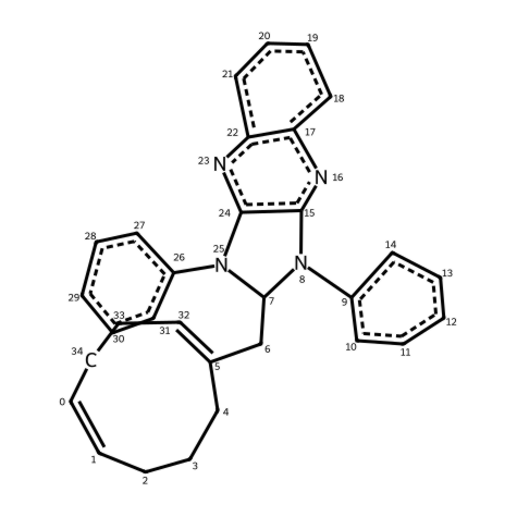 C1=C\CCC/C(CC2N(c3ccccc3)c3nc4ccccc4nc3N2c2ccccc2)=C\CC/1